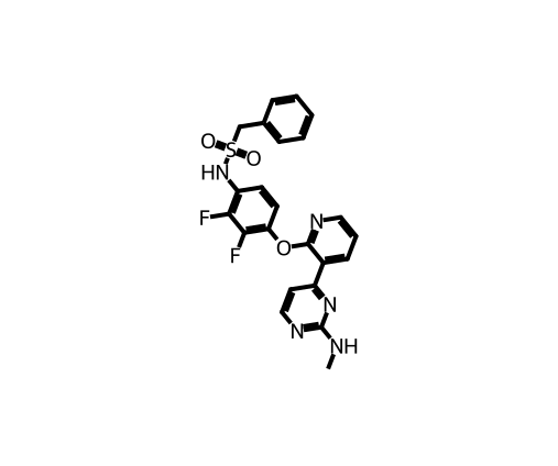 CNc1nccc(-c2cccnc2Oc2ccc(NS(=O)(=O)Cc3ccccc3)c(F)c2F)n1